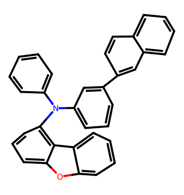 c1ccc(N(c2cccc(-c3ccc4ccccc4c3)c2)c2cccc3oc4ccccc4c23)cc1